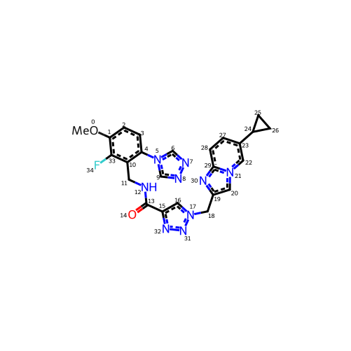 COc1ccc(-n2cnnc2)c(CNC(=O)c2cn(Cc3cn4cc(C5CC5)ccc4n3)nn2)c1F